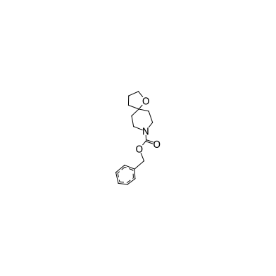 O=C(OCc1ccccc1)N1CCC2(CCCO2)CC1